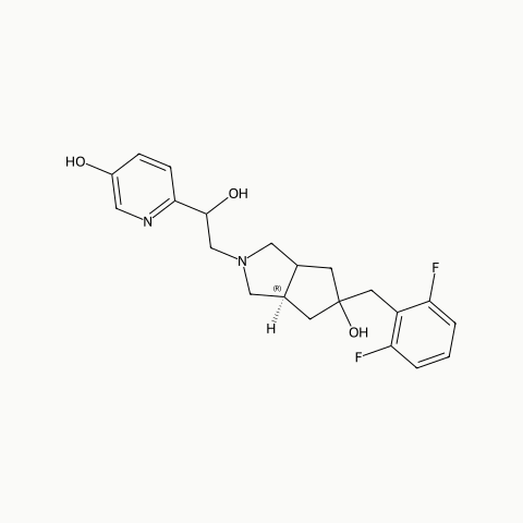 Oc1ccc(C(O)CN2CC3CC(O)(Cc4c(F)cccc4F)C[C@H]3C2)nc1